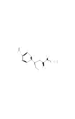 CCC(CC(=O)C(=O)O)c1ccc(OC)cc1